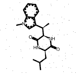 CC(C)C[C@H]1NC(=O)[C@@H]([C@H](C)c2cn(C)c3ccccc23)NC1=O